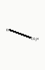 CCC=CCCCCCCCC=CC=CC=CC=CC(=O)O